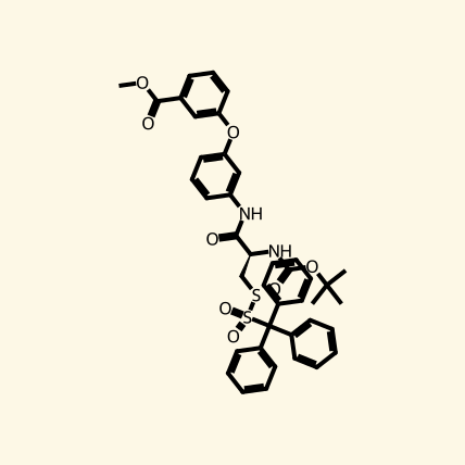 COC(=O)c1cccc(Oc2cccc(NC(=O)[C@H](CSS(=O)(=O)C(c3ccccc3)(c3ccccc3)c3ccccc3)NC(=O)OC(C)(C)C)c2)c1